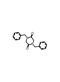 O=C1CN(Cc2ccccc2)C(=O)CN1Cc1ccccc1